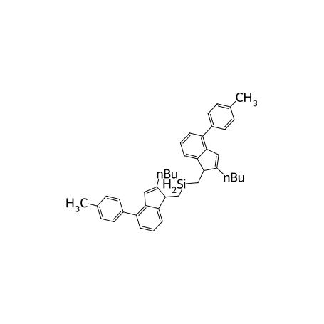 CCCCC1=Cc2c(-c3ccc(C)cc3)cccc2C1C[SiH2]CC1C(CCCC)=Cc2c(-c3ccc(C)cc3)cccc21